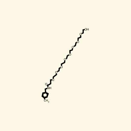 Cc1ccc(CNC(=O)CCOCCOCCOCCOCCOCCOCCOCCOCCO)cc1